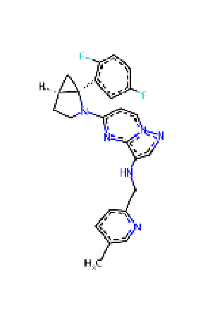 Cc1ccc(CNc2cnn3ccc(N4CC[C@H]5C[C@]54c4cc(F)ccc4F)nc23)nc1